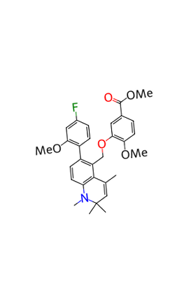 COC(=O)c1ccc(OC)c(OCc2c(-c3ccc(F)cc3OC)ccc3c2C(C)=CC(C)(C)N3C)c1